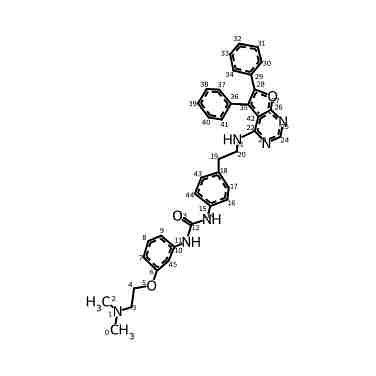 CN(C)CCOc1cccc(NC(=O)Nc2ccc(CCNc3ncnc4oc(-c5ccccc5)c(-c5ccccc5)c34)cc2)c1